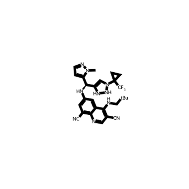 Cn1nccc1[C@H](Nc1cc(C#N)c2ncc(C#N)c(NCC(C)(C)C)c2c1)C1=CN(C2(C(F)(F)F)CC2)NN1